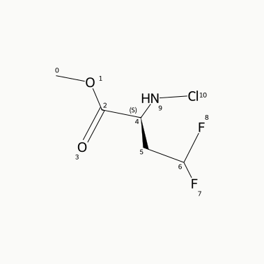 COC(=O)[C@H](CC(F)F)NCl